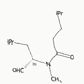 CC(C)CCC(=O)N(C)[C@H](C=O)CC(C)C